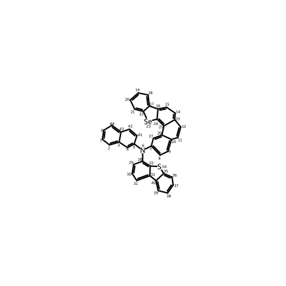 c1ccc2cc(N(c3ccc4ccc5ccc6c7ccccc7[se]c6c5c4c3)c3cccc4c3sc3ccccc34)ccc2c1